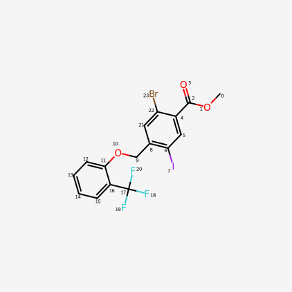 COC(=O)c1cc(I)c(COc2ccccc2C(F)(F)F)cc1Br